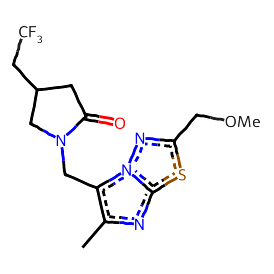 COCc1nn2c(CN3CC(CC(F)(F)F)CC3=O)c(C)nc2s1